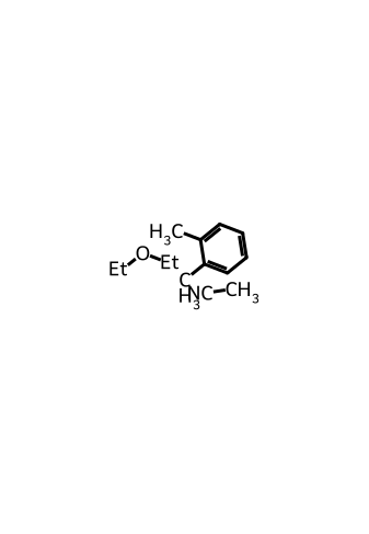 CC#N.CCOCC.Cc1ccccc1C